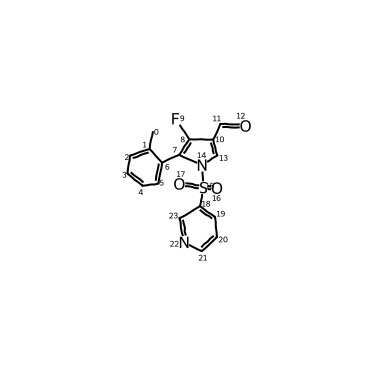 Cc1ccccc1-c1c(F)c(C=O)cn1S(=O)(=O)c1cccnc1